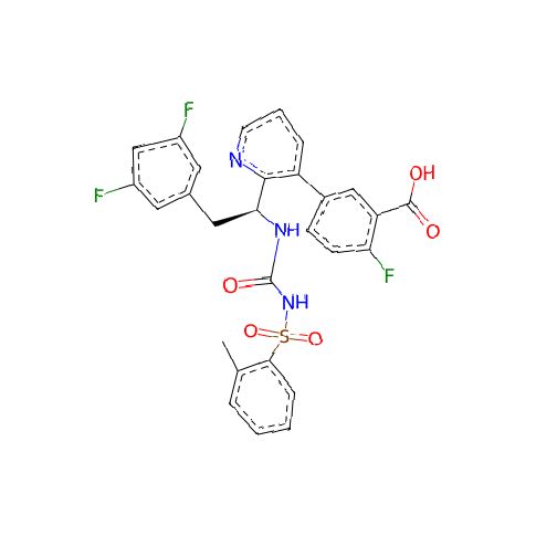 Cc1ccccc1S(=O)(=O)NC(=O)N[C@@H](Cc1cc(F)cc(F)c1)c1ncccc1-c1ccc(F)c(C(=O)O)c1